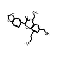 CCCc1cc(CO)cc(CCC)c1OC(C(=O)O)c1ccc2c(c1)OCO2